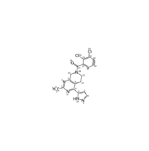 Cc1nc2c(c(-c3ccn[nH]3)n1)CCN(C(=O)c1cc#cc(Cl)c1Cl)C2